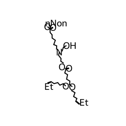 CC/C=C\CCCCOC(CCCCC(=O)OCCCCN(CCO)CCCCCCCC(=O)OCCCCCCCCC)OCCCC/C=C\CC